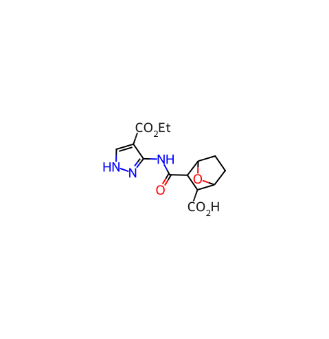 CCOC(=O)c1c[nH]nc1NC(=O)C1C2CCC(O2)C1C(=O)O